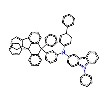 C1=CCC(C23c4ccccc4C(c4ccccc4)(c4cccc(N(C5=CCC(c6ccccc6)C=C5)c5ccc6c(c5)c5ccccc5n6-c5ccccc5)c4)c4cccc(c42)C2=CC=CCC23)C=C1